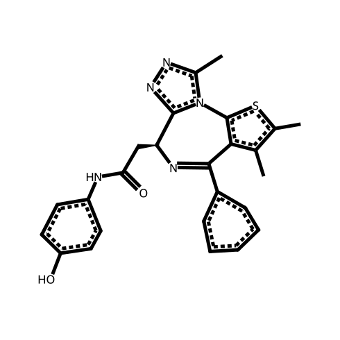 Cc1sc2c(c1C)C(c1ccccc1)=N[C@@H](CC(=O)Nc1ccc(O)cc1)c1nnc(C)n1-2